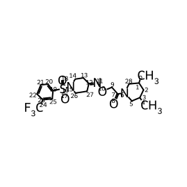 CC1CC(C)CN(C(=O)CON=C2CCN(S(=O)(=O)c3cccc(C(F)(F)F)c3)CC2)C1